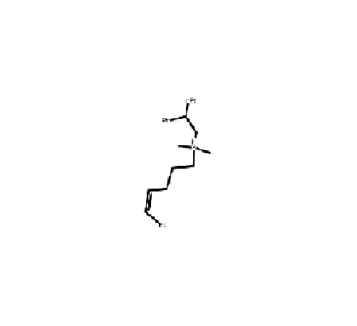 CC/C=C\CCC[PH](C)(C)CC(CCC)C(C)C